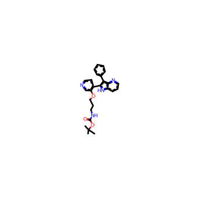 CC(C)(C)OC(=O)NCCCOc1cnccc1-c1[nH]c2cccnc2c1-c1ccccc1